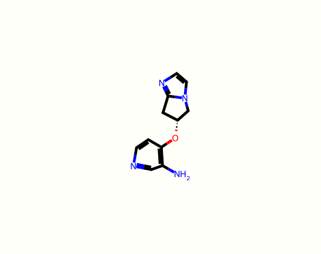 Nc1cnccc1O[C@@H]1Cc2nccn2C1